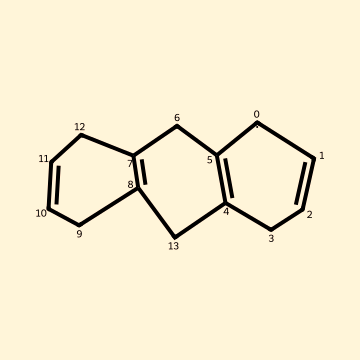 [CH]1C=CCC2=C1CC1=C(CC=CC1)C2